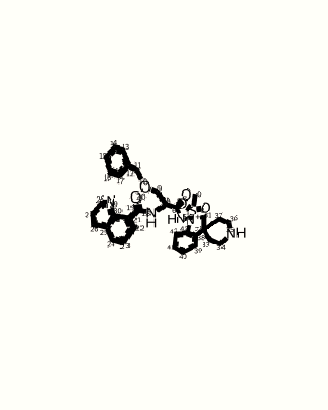 CS(=O)(=O)[N+]1(NC(=O)C(COCc2ccccc2)NC(=O)c2cccc3cccnc23)CC2(CCNCC2)c2ccccc21